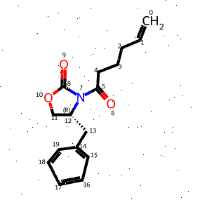 C=CCCCC(=O)N1C(=O)OC[C@H]1Cc1ccccc1